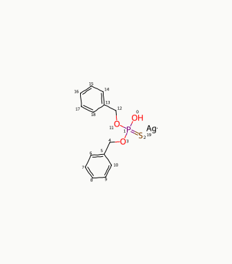 OP(=S)(OCc1ccccc1)OCc1ccccc1.[Ag]